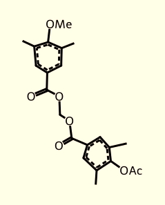 COc1c(C)cc(C(=O)OCOC(=O)c2cc(C)c(OC(C)=O)c(C)c2)cc1C